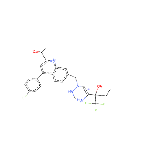 CCC(O)(/C(N)=C/N(Cc1ccc2c(-c3ccc(F)cc3)cc(C(C)=O)nc2c1)NC)C(F)(F)F